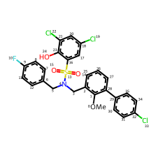 COc1c(CN(Cc2ccc(F)cc2)S(=O)(=O)c2cc(Cl)cc(Cl)c2O)cccc1-c1ccc(Cl)cc1